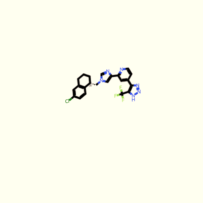 FC(F)(F)c1[nH]nnc1-c1ccnc(-c2cn(C[C@H]3CCCc4cc(Cl)ccc43)cn2)c1